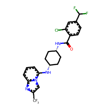 O=C(N[C@H]1CC[C@@H](Nc2cccc3nc(C(F)(F)F)cn23)CC1)c1ccc(C(F)F)cc1Cl